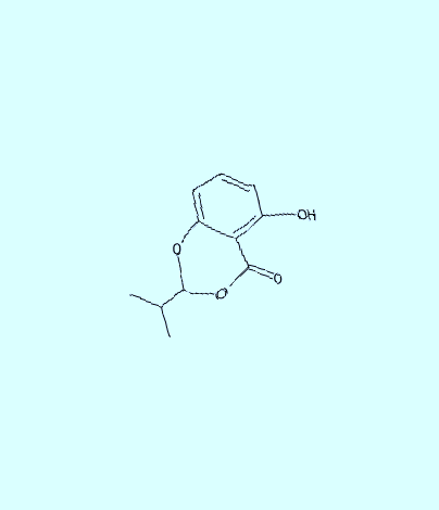 CC(C)C1OC(=O)c2c(O)cccc2O1